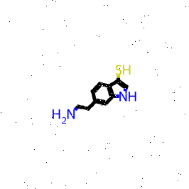 NCCc1ccc2c(S)c[nH]c2c1